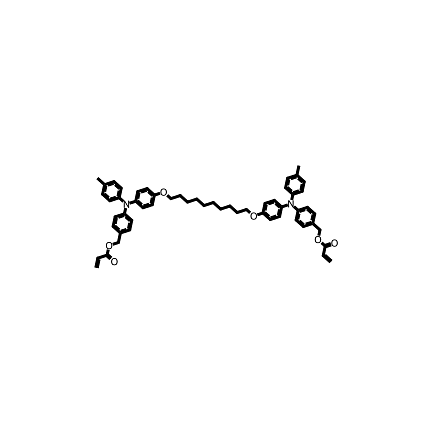 C=CC(=O)OCc1ccc(N(c2ccc(C)cc2)c2ccc(OCCCCCCCCCCOc3ccc(N(c4ccc(C)cc4)c4ccc(COC(=O)C=C)cc4)cc3)cc2)cc1